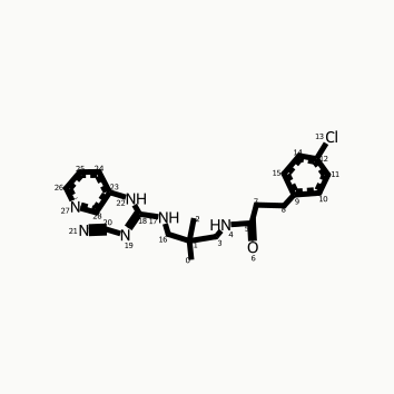 CC(C)(CNC(=O)CCc1ccc(Cl)cc1)CNC(=NC#N)Nc1cccnc1